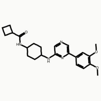 COc1ccc(-c2cncc(NC3CCC(NC(=O)C4CCC4)CC3)n2)cc1OC